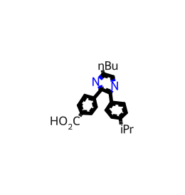 CCCCc1cnc(-c2ccc(C(C)C)cc2)c(-c2ccc(C(=O)O)cc2)n1